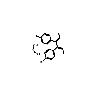 C/C=C(/C(=C/C)c1ccc(O)cc1)c1ccc(O)cc1.OOO